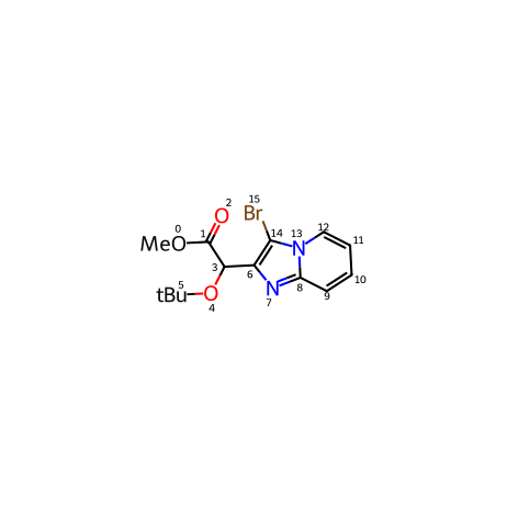 COC(=O)C(OC(C)(C)C)c1nc2ccccn2c1Br